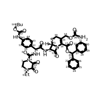 CCN1CCN(C(=O)N[C@@H](C(=O)N[C@@H]2C(=O)N3C(C(=O)OC(c4ccccc4)c4ccccc4)=C(COC(N)=O)CS[C@@H]23)c2ccc(NC(=O)OC(C)(C)C)cc2)C(=O)C1=O